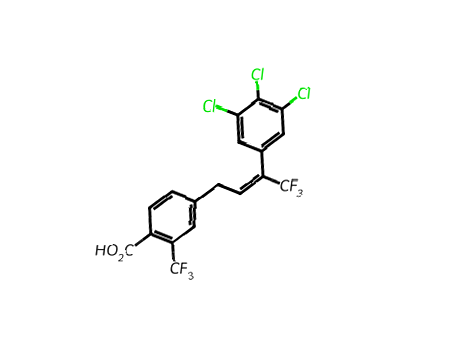 O=C(O)c1ccc(CC=C(c2cc(Cl)c(Cl)c(Cl)c2)C(F)(F)F)cc1C(F)(F)F